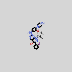 COc1cc(Nc2ncc3c(=O)c(-c4ccccc4I)nn(C)c3n2)ccc1N1CCNCC1